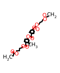 C=CC(=O)OCCCCOC(=O)Oc1ccc(C(=O)Oc2ccc(C(=O)OCCCCOC(=O)C=C)c(C)c2)cc1